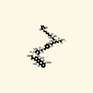 COc1cccc2c1C(=O)c1c(O)c3c(c(O)c1C2=O)CC(C(=O)CO)CC3OC1C[C@H](NC(=O)OCc2ccc(NC(=O)[C@H](CCCNC(N)=O)NC(=O)[C@@H](NC(=O)CCCCCN3C(=O)C=CC3=O)C(C)C)cc2)[C@H](O)[C@H](C)O1